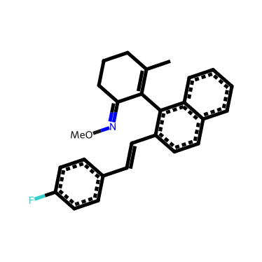 CON=C1CCCC(C)=C1c1c(C=Cc2ccc(F)cc2)ccc2ccccc12